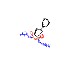 [N-]=[N+]=NS(=O)(=O)C1(S(=O)(=O)N=[N+]=[N-])C=CC(c2ccccc2)=CC1